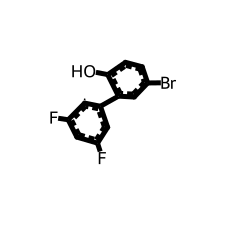 Oc1ccc(Br)cc1-c1[c]c(F)cc(F)c1